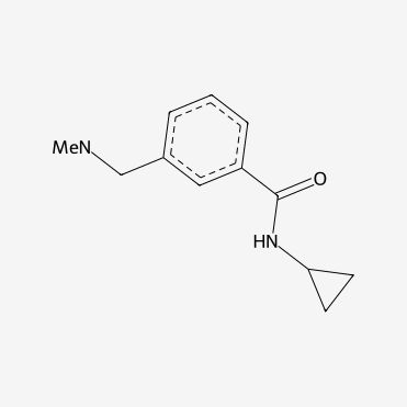 CNCc1cccc(C(=O)NC2CC2)c1